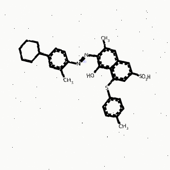 Cc1ccc(Sc2cc(S(=O)(=O)O)cc3cc(C)c(/N=N/c4ccc(C5CCCCC5)cc4C)c(O)c23)cc1